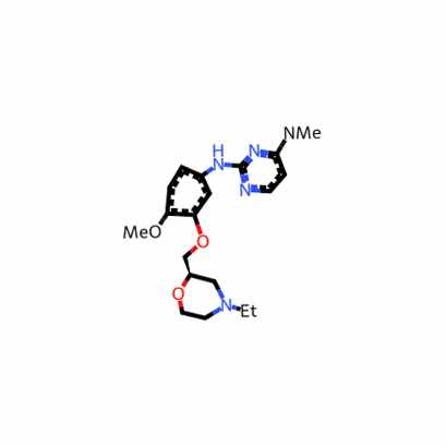 CCN1CCO[C@@H](COc2cc(Nc3nccc(NC)n3)ccc2OC)C1